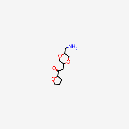 NCC1COC(CC(=O)C2CCCO2)CO1